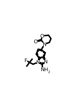 CC(C)(F)Cn1c(N)nc2cc(N3CCCOC3=O)ccc21